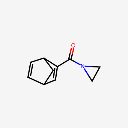 O=C(C1=CC2C=CC1C2)N1CC1